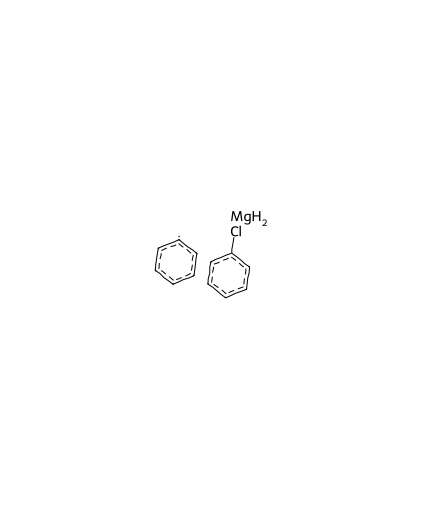 Clc1ccccc1.[MgH2].[c]1ccccc1